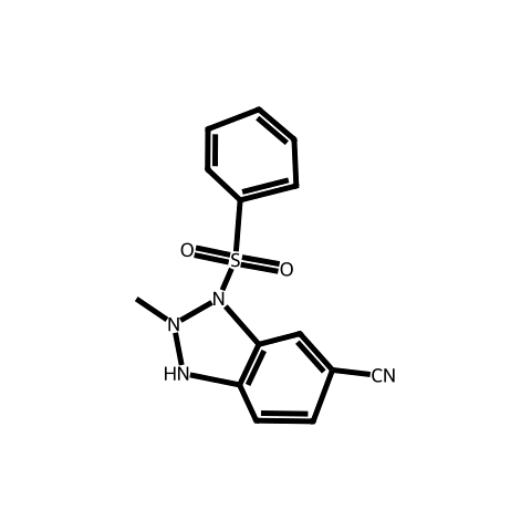 CN1Nc2ccc(C#N)cc2N1S(=O)(=O)c1ccccc1